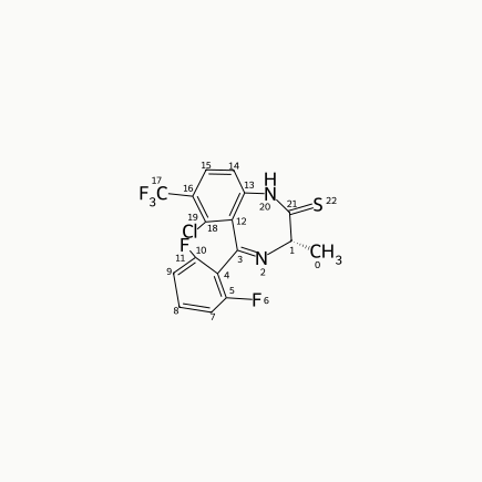 C[C@@H]1N=C(c2c(F)cccc2F)c2c(ccc(C(F)(F)F)c2Cl)NC1=S